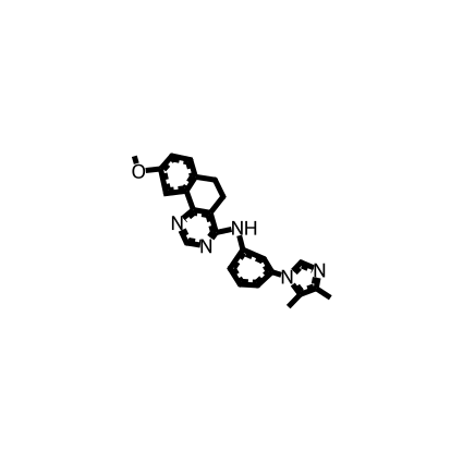 COc1ccc2c(c1)-c1ncnc(Nc3cccc(-n4cnc(C)c4C)c3)c1CC2